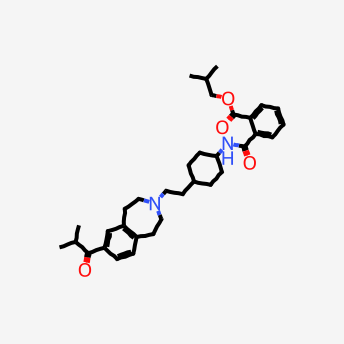 CC(C)COC(=O)c1ccccc1C(=O)NC1CCC(CCN2CCc3ccc(C(=O)C(C)C)cc3CC2)CC1